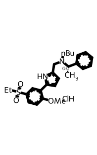 CCCCN(Cc1ccc(-c2cc(S(=O)(=O)CC)ccc2OC)[nH]1)[C@@H](C)c1ccccc1.Cl